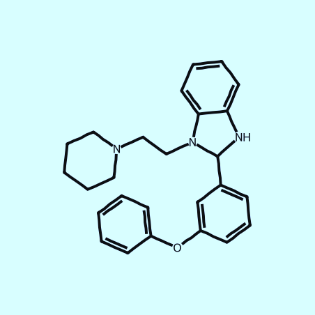 c1ccc(Oc2cccc(C3Nc4ccccc4N3CCN3CCCCC3)c2)cc1